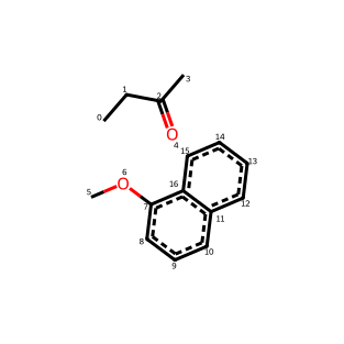 CCC(C)=O.COc1cccc2ccccc12